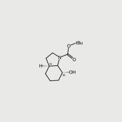 CC(C)(C)OC(=O)N1CC[C@@H]2CCC[C@@H](O)C21